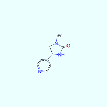 CC(C)N1CC(c2ccncc2)NC1=O